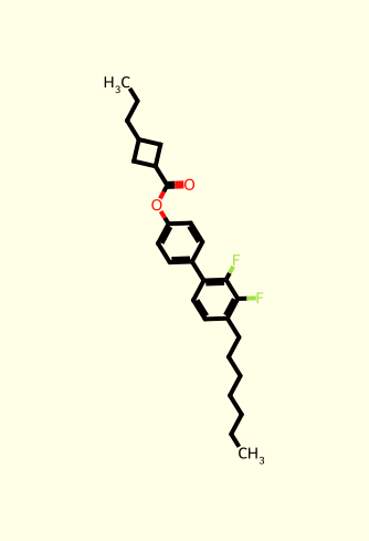 CCCCCCCc1ccc(-c2ccc(OC(=O)C3CC(CCC)C3)cc2)c(F)c1F